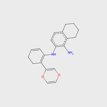 Nc1c(NC2=C(C3=COC=CO3)CCC=C2)ccc2c1CCCC2